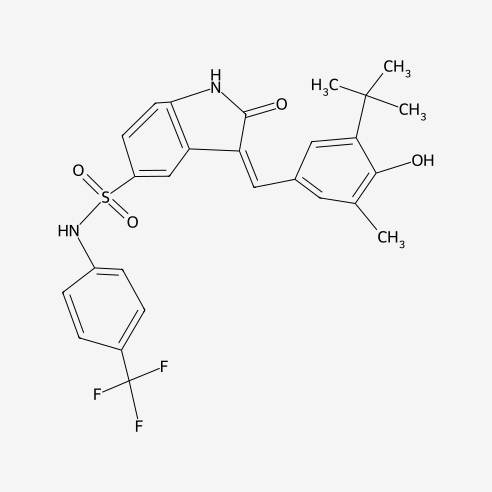 Cc1cc(C=C2C(=O)Nc3ccc(S(=O)(=O)Nc4ccc(C(F)(F)F)cc4)cc32)cc(C(C)(C)C)c1O